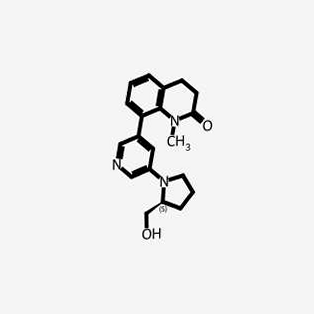 CN1C(=O)CCc2cccc(-c3cncc(N4CCC[C@H]4CO)c3)c21